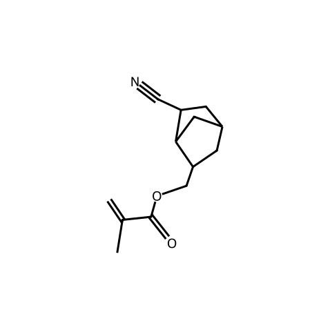 C=C(C)C(=O)OCC1CC2CC(C#N)C1C2